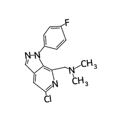 CN(C)Cc1nc(Cl)cc2cnn(-c3ccc(F)cc3)c12